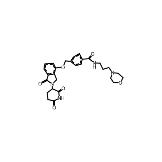 O=C1CCC(N2Cc3c(OCc4ccc(C(=O)NCCCN5CCOCC5)cc4)cccc3C2=O)C(=O)N1